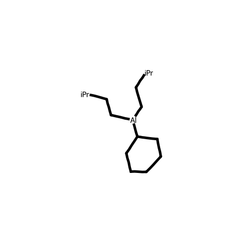 CC(C)C[CH2][Al]([CH2]CC(C)C)[CH]1CCCCC1